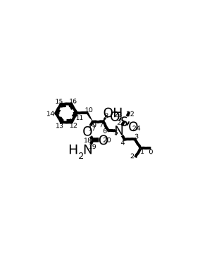 CC(C)CCN(C[C@H](O)[C@H](Cc1ccccc1)OC(N)=O)S(C)(=O)=O